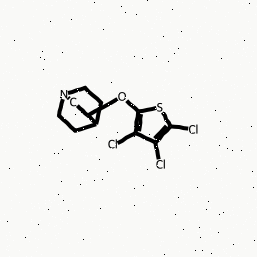 Clc1sc(OC2CN3CCC2CC3)c(Cl)c1Cl